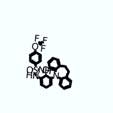 N=S(=O)(NC1=CCC=C(N2c3ccccc3CCc3ccccc32)[C@@H]1O)c1ccc(OC(F)(F)F)cc1